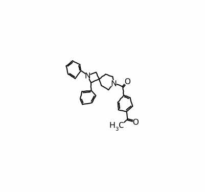 CC(=O)c1ccc(C(=O)N2CCC3(CC2)CN(c2ccccc2)C3c2ccccc2)cc1